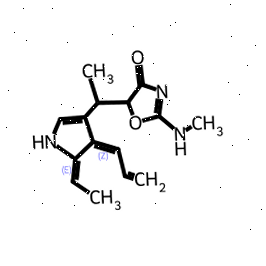 C=C/C=c1/c(C(C)C2OC(NC)=NC2=O)c[nH]/c1=C/C